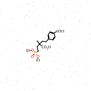 CCCCCCCCc1ccc(CCC(C)(CCP(=O)(OCC)OCC)C(=O)O)cc1